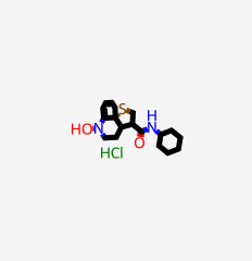 Cl.O=C(NC1CCCCC1)C1CSC23CC=CC=C2N(O)CCC13